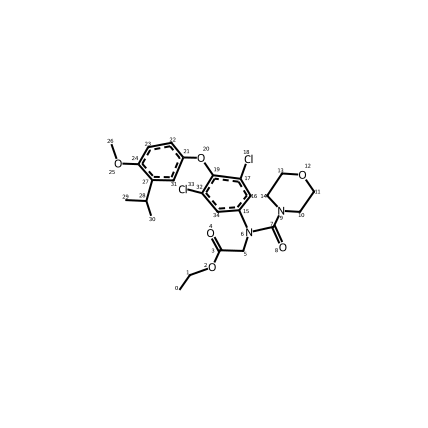 CCOC(=O)CN(C(=O)N1CCOCC1)c1cc(Cl)c(Oc2ccc(OC)c(C(C)C)c2)c(Cl)c1